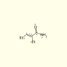 CC/C=C(\CC)C(N)=O